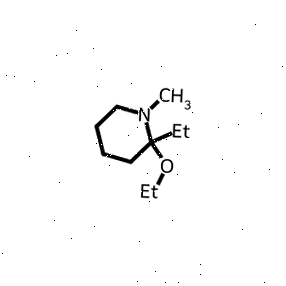 CCOC1(CC)CCCCN1C